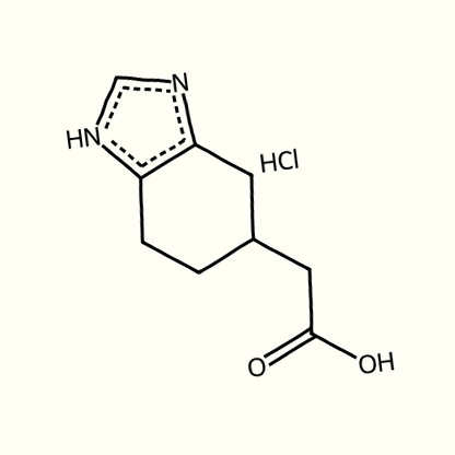 Cl.O=C(O)CC1CCc2[nH]cnc2C1